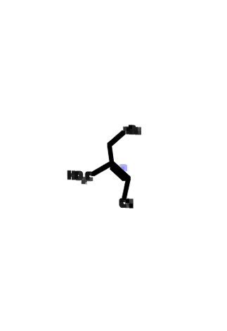 CCCCC/C(=C/C#N)C(=O)O